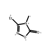 CCc1noc(=O)n1C